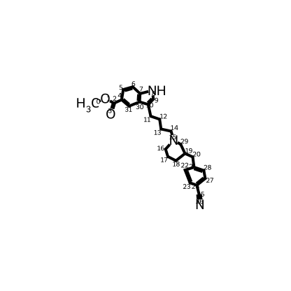 COC(=O)c1ccc2[nH]cc(CCCCN3CCCC(Cc4ccc(C#N)cc4)C3)c2c1